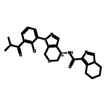 CN(C)C(=O)c1cccc(-n2ncc3c2COC[C@H]3NC(=O)c2ncn3c2CCCC3)c1Cl